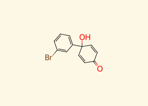 O=C1C=CC(O)(c2cccc(Br)c2)C=C1